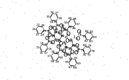 O=C(OC[C@H]1O[C@@H](O[C@H]2[C@H](OC(=O)c3ccccc3)[C@@H](OC(=O)c3ccccc3)[C@H](OC(=O)c3ccccc3)O[C@@H]2COC(=O)c2ccccc2)[C@H](OC(=O)c2ccccc2)[C@@H](OC(=O)c2ccccc2)[C@@H]1OC(=O)c1ccccc1)c1ccccc1